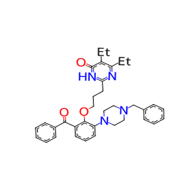 CCc1nc(CCCOc2c(C(=O)c3ccccc3)cccc2N2CCN(Cc3ccccc3)CC2)[nH]c(=O)c1CC